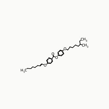 CCCCCCC=COc1ccc(C(=O)Oc2ccc(OCCCCCC(C)CC)cc2)cc1